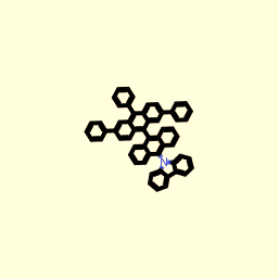 c1ccc(-c2ccc3c(-c4c5ccccc5c(-n5c6ccccc6c6ccccc65)c5ccccc45)c4cc(-c5ccccc5)ccc4c(-c4ccccc4)c3c2)cc1